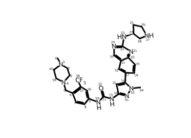 CN1CCN(Cc2ccc(NC(=O)Nc3cc(-c4ccc5nc(N[C@H]6CCNC6)ncc5c4)n(C)n3)cc2C(F)(F)F)CC1